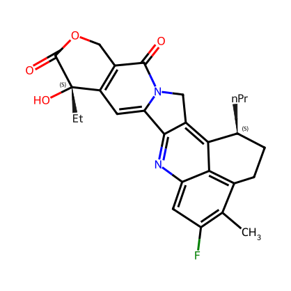 CCC[C@H]1CCc2c(C)c(F)cc3nc4c(c1c23)Cn1c-4cc2c(c1=O)COC(=O)[C@]2(O)CC